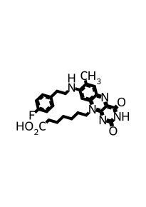 Cc1cc2nc3c(=O)[nH]c(=O)nc-3n(CCCCCCC(=O)O)c2cc1NCCc1ccc(F)cc1